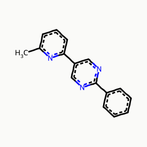 Cc1cccc(-c2cnc(-c3ccccc3)nc2)n1